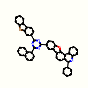 c1ccc(-c2nc3ccccc3c3c2ccc2c4cc(-c5nc(-c6ccc7c(c6)sc6ccccc67)nc(-c6cccc7ccccc67)n5)ccc4oc23)cc1